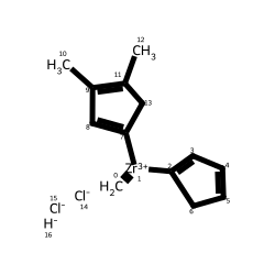 [CH2]=[Zr+3]([C]1=CC=CC1)[C]1=CC(C)=C(C)C1.[Cl-].[Cl-].[H-]